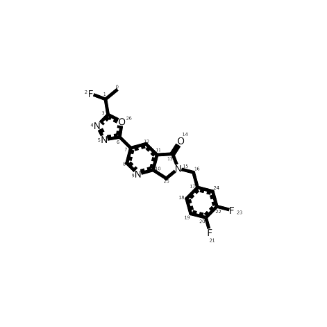 CC(F)c1nnc(-c2cnc3c(c2)C(=O)N(Cc2ccc(F)c(F)c2)C3)o1